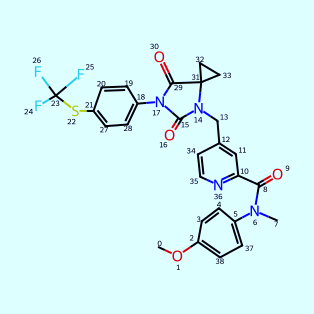 COc1ccc(N(C)C(=O)c2cc(CN3C(=O)N(c4ccc(SC(F)(F)F)cc4)C(=O)C34CC4)ccn2)cc1